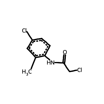 Cc1cc(Cl)ccc1NC(=O)CCl